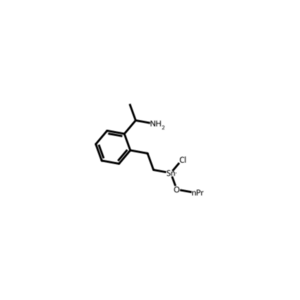 CCC[O][Sn]([Cl])[CH2]Cc1ccccc1C(C)N